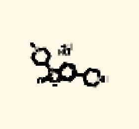 CN1CCC(n2c(=O)oc3cc(C4CCNCC4)ccc32)CC1.Cl.Cl